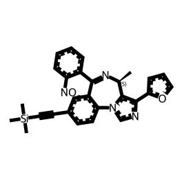 C[C@@H]1N=C(c2ccccc2[N+](=O)[O-])c2cc(C#C[Si](C)(C)C)ccc2-n2cnc(-c3ccco3)c21